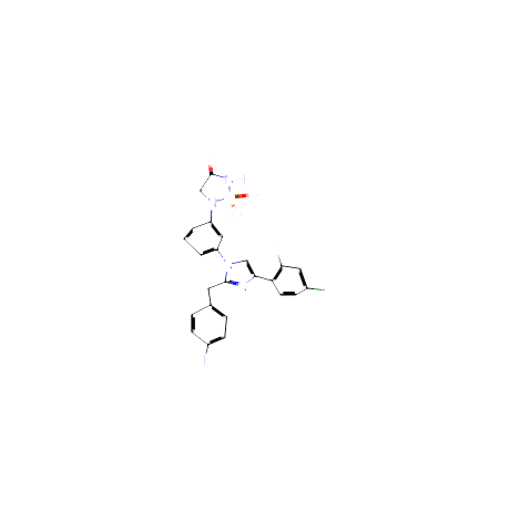 O=C1CN(c2cccc(-n3cc(-c4ccc(Cl)cc4Cl)nc3Cc3ccc(I)cc3)c2)S(=O)(=O)N1